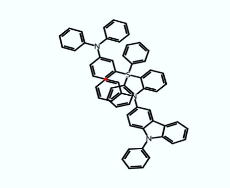 c1ccc(N(c2ccccc2)c2cccc(S(c3ccccc3)(c3ccccc3)c3ccccc3N(c3ccccc3)c3ccc4c(c3)c3ccccc3n4-c3ccccc3)c2)cc1